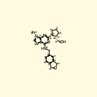 CC(C)n1cnc2c(NCc3ccc4c(c3)COC4)nc(N3CCC[C@@H]3CO)nc21